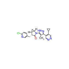 Cc1c(-c2cnncc2C2CC2)n[nH]c1N1C(=O)[C@H](Cc2ccc(Cl)nc2)[C@@H]2C[C@@H]21